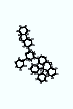 c1ccc(-c2nc(-c3ccc4c(c3)C(c3ccccc3)(c3ccccc3)c3ccccc3O4)nc(-c3ccc4c(c3)oc3ccccc34)n2)cc1